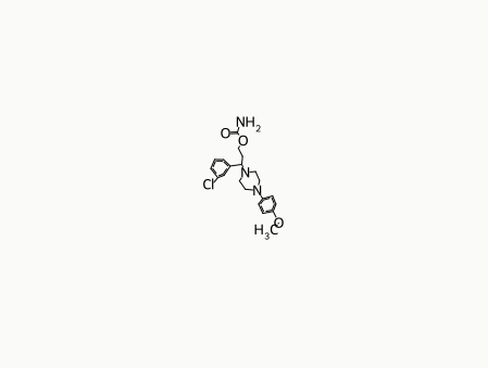 COc1ccc(N2CCN(C(CCOC(N)=O)c3cccc(Cl)c3)CC2)cc1